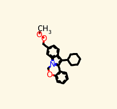 COOCc1ccc2c(C3CCCCC3)c3n(c2c1)COc1ccccc1-3